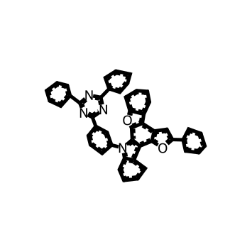 c1ccc(-c2nc(-c3ccccc3)nc(-c3cccc(-n4c5ccccc5c5c6oc(-c7ccccc7)cc6c6c7ccccc7oc6c54)c3)n2)cc1